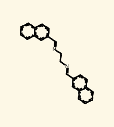 C(=NCCN=Cc1ccc2ccccc2c1)c1ccc2ccccc2c1